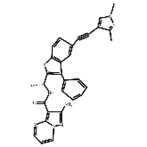 Cc1nn(C)cc1C#Cc1ccc2sc([C@@H](C)NC(=O)c3c(N)nn4cccnc34)c(-c3ccccc3)c2c1